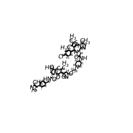 Cc1ncsc1-c1ccc(CNC(=O)[C@@H]2C[C@@H](O)CN2C(=O)C(c2cc(OCCN3CCC(NC(=O)C[C@@H]4N=C(c5ccc(Cl)cc5)c5c(sc(C)c5C)-n5c(C)nnc54)CC3)no2)C(C)C)cc1